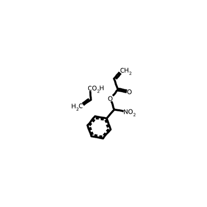 C=CC(=O)O.C=CC(=O)OC(c1ccccc1)[N+](=O)[O-]